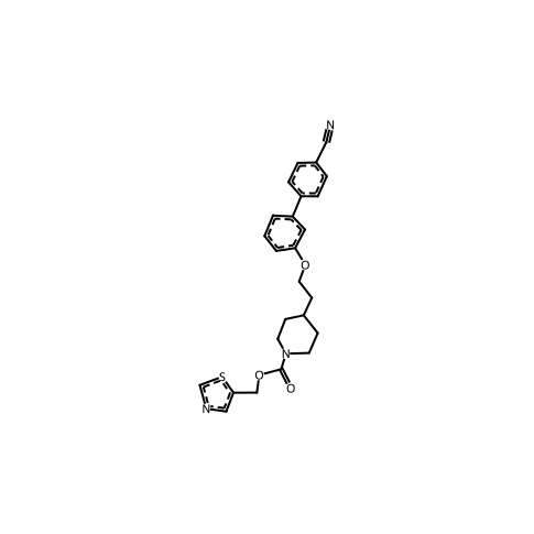 N#Cc1ccc(-c2cccc(OCCC3CCN(C(=O)OCc4cncs4)CC3)c2)cc1